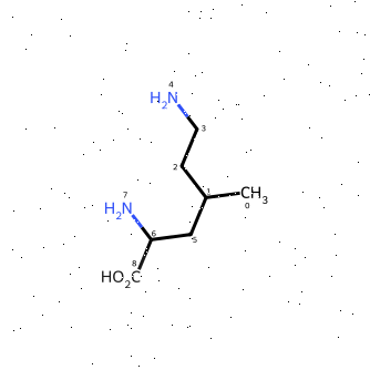 CC(CCN)CC(N)C(=O)O